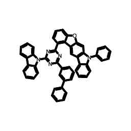 c1ccc(-c2cccc(-c3nc(-c4cccc5oc6cc7c(cc6c45)c4ccccc4n7-c4ccccc4)nc(-n4c5ccccc5c5ccccc54)n3)c2)cc1